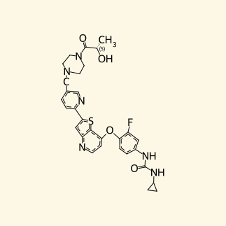 C[C@H](O)C(=O)N1CCN(Cc2ccc(-c3cc4nccc(Oc5ccc(NC(=O)NC6CC6)cc5F)c4s3)nc2)CC1